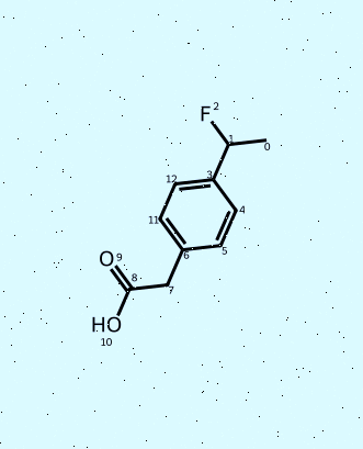 CC(F)c1ccc(CC(=O)O)cc1